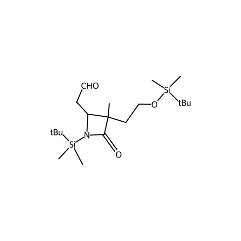 CC1(CCO[Si](C)(C)C(C)(C)C)C(=O)N([Si](C)(C)C(C)(C)C)C1CC=O